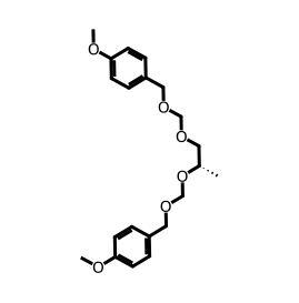 COc1ccc(COCOC[C@H](C)OCOCc2ccc(OC)cc2)cc1